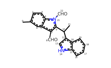 Cc1ccc2c(c1)c(C=O)c(C(C)c1c[nH]c3ccccc13)n2C=O